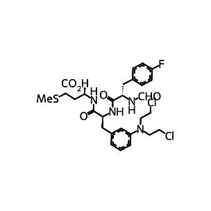 CSCC[C@H](NC(=O)[C@H](Cc1cccc(N(CCCl)CCCl)c1)NC(=O)[C@H](Cc1ccc(F)cc1)NC=O)C(=O)O